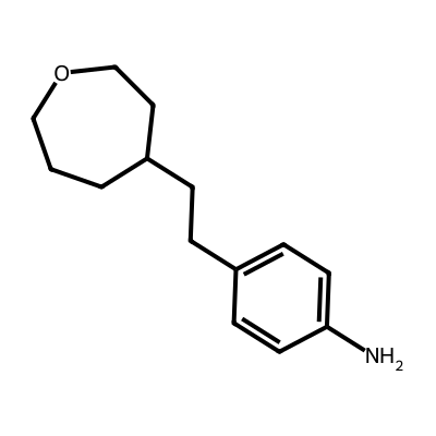 Nc1ccc(CCC2CCCOCC2)cc1